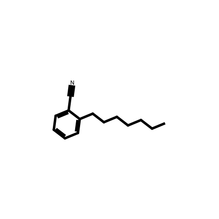 CCCCCCCc1ccccc1C#N